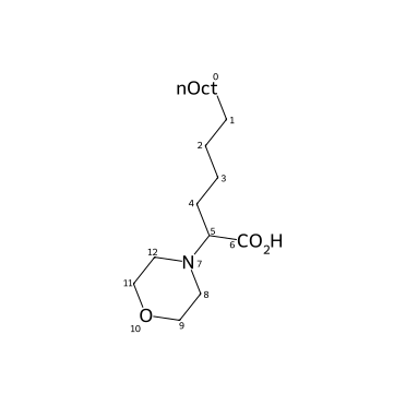 CCCCCCCCCCCCC(C(=O)O)N1CCOCC1